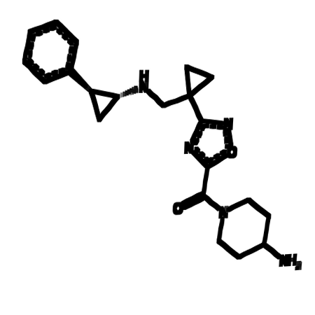 NC1CCN(C(=O)c2nc(C3(CN[C@@H]4C[C@H]4c4ccccc4)CC3)no2)CC1